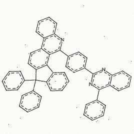 c1ccc(-c2nc(-c3ccc(-c4nc5ccccc5c5ccc6c(c45)-c4ccccc4C6(c4ccccc4)c4ccccc4)cc3)nc3ccccc23)cc1